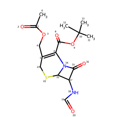 CC(=O)OCC1=C(C(=O)OC(C)(C)C)N2C(=O)C(NC=O)C2SC1